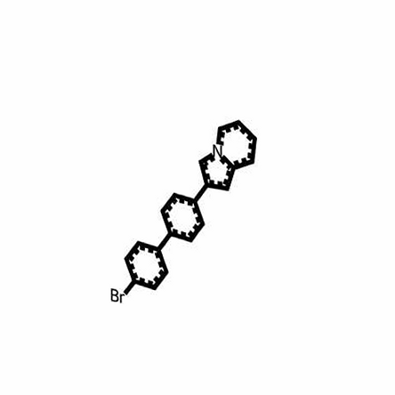 Brc1ccc(-c2ccc(-c3cc4ccccn4c3)cc2)cc1